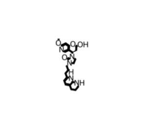 COc1ccc([C@@H](CC(=O)O)N2CCN(CCCC3=CC=C4CCCNC4N3)C2=O)cn1